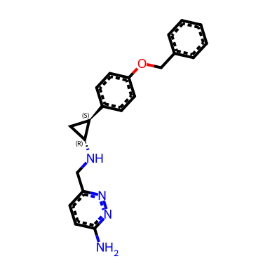 Nc1ccc(CN[C@@H]2C[C@H]2c2ccc(OCc3ccccc3)cc2)nn1